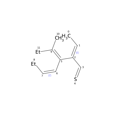 C/C=C(/C=S)C(/C=C\CC)=C(C)CC